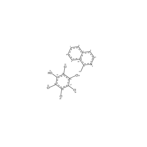 Cc1nccc2ccccc12.Oc1c(Cl)c(Cl)c(Cl)c(Cl)c1Cl